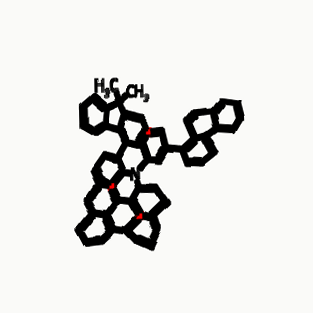 CC1(C)c2ccccc2-c2c(-c3ccccc3N(c3cccc(-c4cccc5c4ccc4ccccc45)c3)c3ccccc3-c3cccc4cccc(-c5ccccc5)c34)cccc21